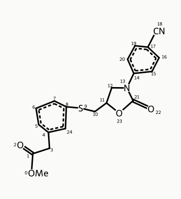 COC(=O)Cc1cccc(SCC2CN(c3ccc(C#N)cc3)C(=O)O2)c1